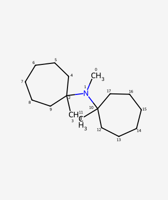 CN(C1(C)CCCCCC1)C1(C)CCCCCC1